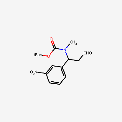 CN(C(=O)OC(C)(C)C)C(CC=O)c1cccc([N+](=O)[O-])c1